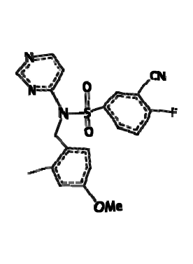 COc1ccc(CN(c2ccncn2)S(=O)(=O)c2ccc(F)c(C#N)c2)c(C)c1